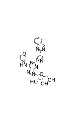 OCC1OC(n2cnc3c(N[C@@H]4CCOC4)nc(-n4cc(-c5ncc6ccccc6n5)cn4)nc32)C(O)C1O